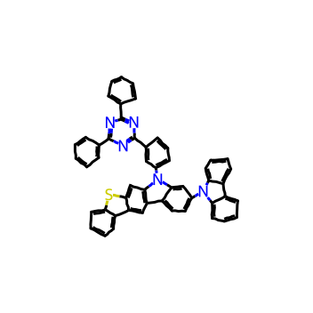 c1ccc(-c2nc(-c3ccccc3)nc(-c3cccc(-n4c5cc(-n6c7ccccc7c7ccccc76)ccc5c5cc6c(cc54)sc4ccccc46)c3)n2)cc1